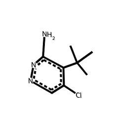 CC(C)(C)c1c(Cl)cnnc1N